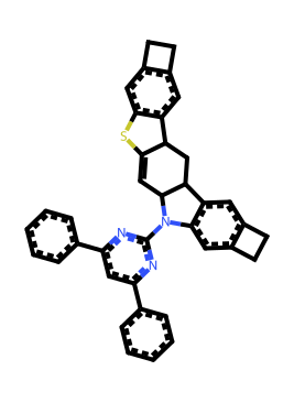 C1=C2Sc3cc4c(cc3C2CC2c3cc5c(cc3N(c3nc(-c6ccccc6)cc(-c6ccccc6)n3)C12)CC5)CC4